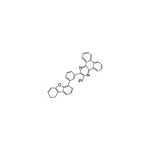 CC(C)c1nc2c3ccccc3c3ccccc3c2nc1-c1cccc(-c2cccc3c4c(oc23)C=CCC4)c1